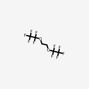 FC(F)(F)C(F)(F)OCCOC(F)(F)C(F)(F)F